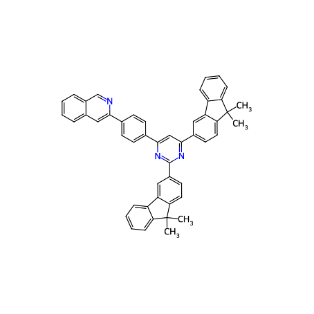 CC1(C)c2ccccc2-c2cc(-c3cc(-c4ccc(-c5cc6ccccc6cn5)cc4)nc(-c4ccc5c(c4)-c4ccccc4C5(C)C)n3)ccc21